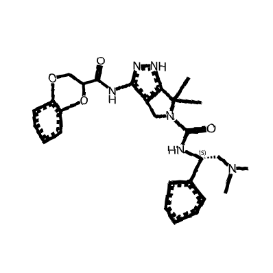 CN(C)C[C@@H](NC(=O)N1Cc2c(NC(=O)C3COc4ccccc4O3)n[nH]c2C1(C)C)c1ccccc1